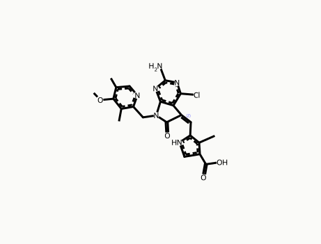 COc1c(C)cnc(CN2C(=O)/C(=C\c3[nH]cc(C(=O)O)c3C)c3c(Cl)nc(N)nc32)c1C